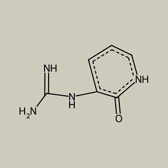 N=C(N)Nc1ccc[nH]c1=O